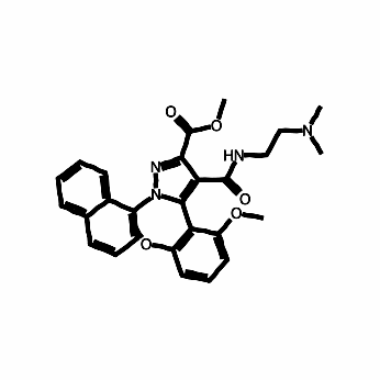 COC(=O)c1nn(-c2cccc3ccccc23)c(-c2c(OC)cccc2OC)c1C(=O)NCCN(C)C